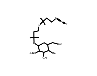 CC(=O)NC1C(OC(C)(C)CCOC(C)(C)CCN=[N+]=[N-])OC(COC(C)=O)C(OC(C)=O)C1OC(C)=O